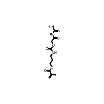 C=C(C)C(=O)OCCCNC(=O)OCC(=O)NC(N)=S